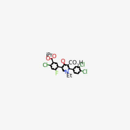 CCn1cc(-c2cc(C(=O)OC(C)C)c(Cl)cc2F)c(=O)c(C(=O)O)c1-c1ccc(Cl)c(Cl)c1